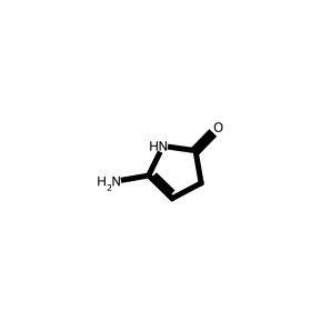 NC1=CCC(=O)N1